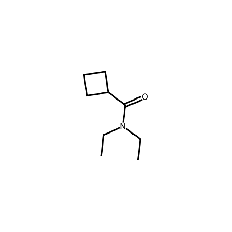 CCN(CC)C(=O)C1CCC1